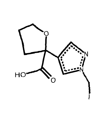 O=C(O)C1(c2cnn(CI)c2)CCCO1